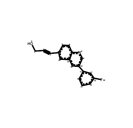 OCC#Cc1ccc2ncc(-c3cccc(F)c3)cc2c1